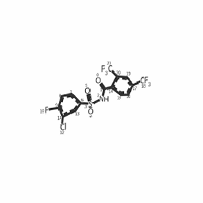 O=C(NS(=O)(=O)c1ccc(F)c(Cl)c1)c1ccc(C(F)(F)F)cc1C(F)(F)F